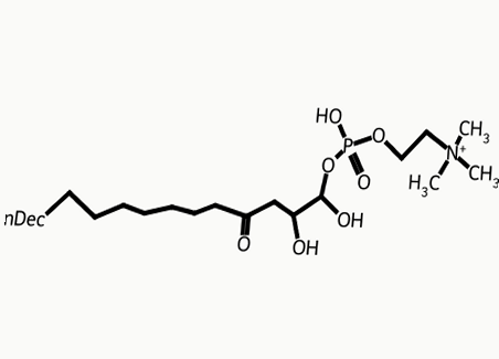 CCCCCCCCCCCCCCCCCC(=O)CC(O)C(O)OP(=O)(O)OCC[N+](C)(C)C